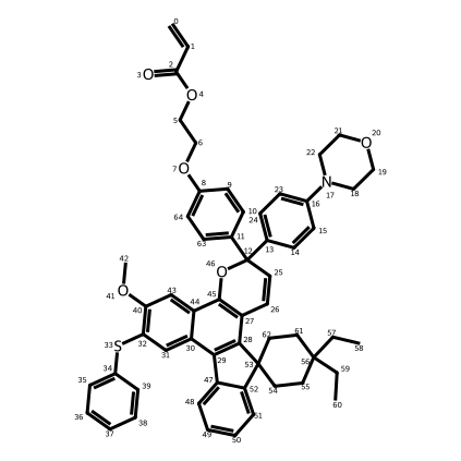 C=CC(=O)OCCOc1ccc(C2(c3ccc(N4CCOCC4)cc3)C=Cc3c4c(c5cc(Sc6ccccc6)c(OC)cc5c3O2)-c2ccccc2C42CCC(CC)(CC)CC2)cc1